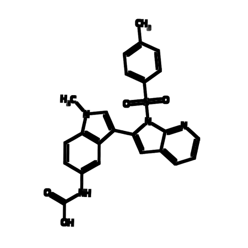 Cc1ccc(S(=O)(=O)n2c(-c3cn(C)c4ccc(NC(=O)O)cc34)cc3cccnc32)cc1